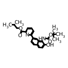 CC(C)COC(=O)c1cccc(-c2ccc3ccc(O)c(NC(=O)OC(C)(C)C)c3c2)n1